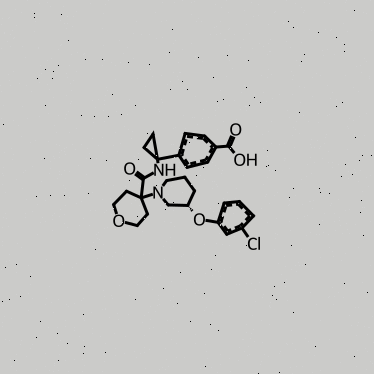 O=C(O)c1ccc(C2(NC(=O)C3(N4CCC[C@H](Oc5cccc(Cl)c5)C4)CCOCC3)CC2)cc1